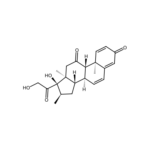 C[C@@H]1C[C@H]2[C@@H]3C=CC4=CC(=O)C=C[C@]4(C)[C@H]3C(=O)C[C@]2(C)[C@@]1(O)C(=O)CO